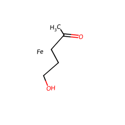 CC(=O)CCCO.[Fe]